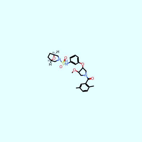 COC1CN(C(=O)c2cc(C)ccc2C)CC1Oc1cccc(NS(=O)(=O)N2C[C@@H]3CC[C@@H](C2)O3)c1